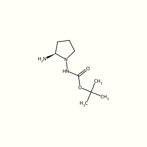 CC(C)(C)OC(=O)NN1CCC[C@@H]1N